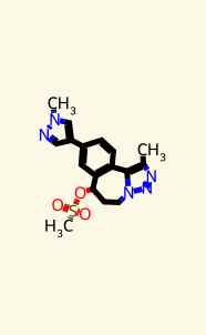 Cc1nnn2c1-c1ccc(-c3cnn(C)c3)cc1C(OS(C)(=O)=O)CC2